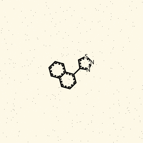 c1ccc2c(-c3csnn3)cccc2c1